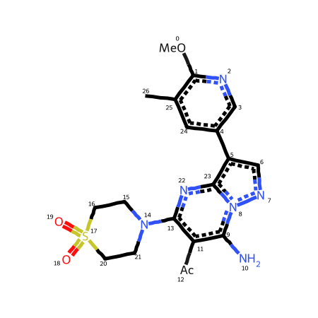 COc1ncc(-c2cnn3c(N)c(C(C)=O)c(N4CCS(=O)(=O)CC4)nc23)cc1C